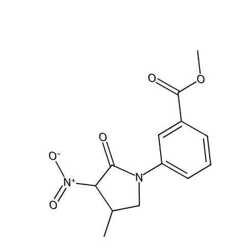 COC(=O)c1cccc(N2CC(C)C([N+](=O)[O-])C2=O)c1